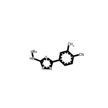 CCCCNc1nnc(-c2ccc(C#N)c(C)c2)s1